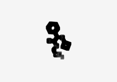 CCOC(=O)C(OC1CCC1)c1ccccc1